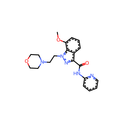 COc1cccc2c(C(=O)Nc3ccccn3)nn(CCN3CCOCC3)c12